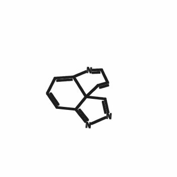 C1=CC2=NN=CC23C=CC=NC3=C1